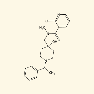 CC(c1ccccc1)N1CCC(O)(CN(C)C(=O)c2cccnc2Cl)CC1